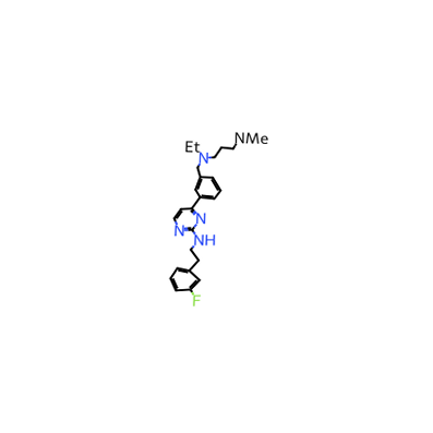 CCN(CCCNC)Cc1cccc(-c2ccnc(NCCc3cccc(F)c3)n2)c1